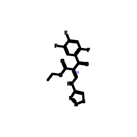 CCOC(=O)/C(=C\Nc1csnn1)C(=O)c1cc(F)c(F)cc1F